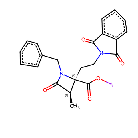 C[C@H]1C(=O)N(Cc2ccccc2)[C@@]1(CCN1C(=O)c2ccccc2C1=O)C(=O)OI